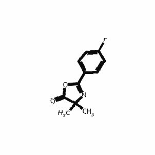 CC1(C)N=C(c2ccc(F)cc2)OC1=O